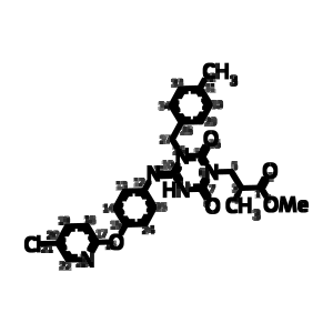 COC(=O)[C@@H](C)Cn1c(=O)[nH]/c(=N\c2ccc(Oc3ccc(Cl)cn3)cc2)n(Cc2ccc(C)cc2)c1=O